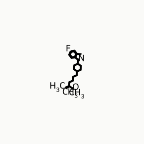 CC(=O)C(CCCCC1CCC(C2=NCc3cc(F)ccc32)CC1)=C(C)C